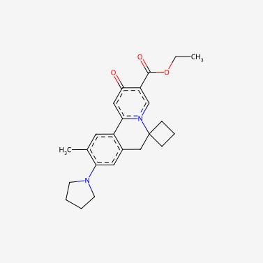 CCOC(=O)c1cn2c(cc1=O)-c1cc(C)c(N3CCCC3)cc1CC21CCC1